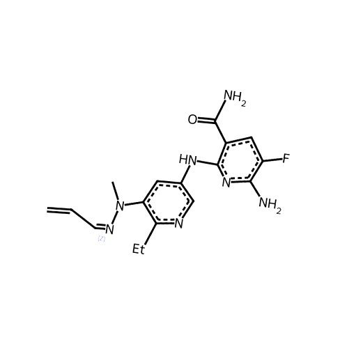 C=C/C=N\N(C)c1cc(Nc2nc(N)c(F)cc2C(N)=O)cnc1CC